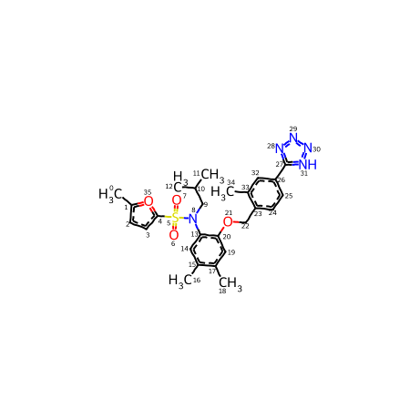 Cc1ccc(S(=O)(=O)N(CC(C)C)c2cc(C)c(C)cc2OCc2ccc(-c3nnn[nH]3)cc2C)o1